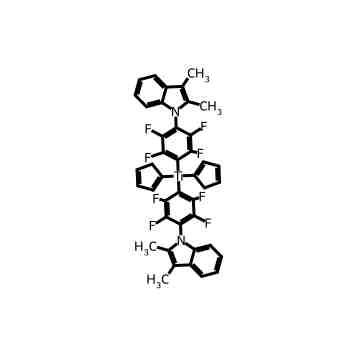 Cc1c(C)n(-c2c(F)c(F)[c]([Ti]([C]3=CC=CC3)([C]3=CC=CC3)[c]3c(F)c(F)c(-n4c(C)c(C)c5ccccc54)c(F)c3F)c(F)c2F)c2ccccc12